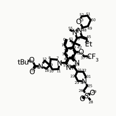 C=Cc1cc2c(N3CCC4(CC3)CN(C(=O)OC(C)(C)C)C4)nc(C3CCN(CCS(C)(=O)=O)CC3)nc2c(OCC(F)(F)F)c1C(C)(C)C1/C(=C\CC)N(C2CCCCO2)N1C